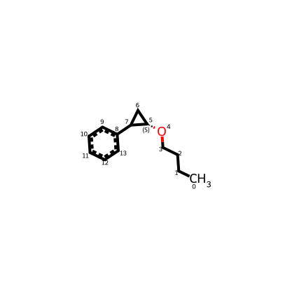 CCCCO[C@H]1CC1c1ccccc1